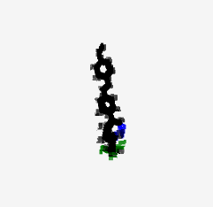 CCC1CCC(CCc2ccc(-c3ccc(C(F)(F)F)nc3)cc2)CC1